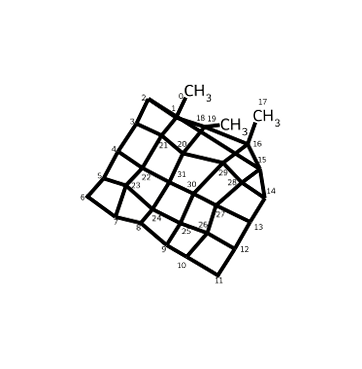 CC12C3C4C5C6CC7C8C9C%10CC%11C%12C%13C3%14C3(C)C1(C)C1%15C42C52C67C84C95C%11%10C%126C%13%14C31C65C24%15